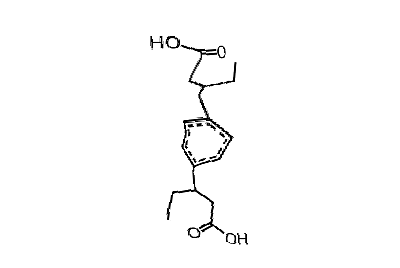 CCC(CC(=O)O)c1ccc(C(CC)CC(=O)O)cc1